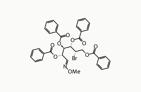 CO/N=C/[C@H](OC(=O)c1ccccc1)[C@@H](OC(=O)c1ccccc1)[C@H](OC(=O)c1ccccc1)[C@@H](Br)COC(=O)c1ccccc1